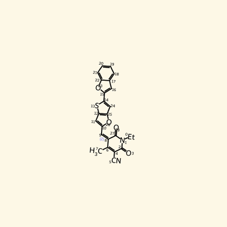 CCN1C(=O)C(C#N)=C(C)/C(=C/c2cc3sc(-c4cc5ccccc5o4)cc3o2)C1=O